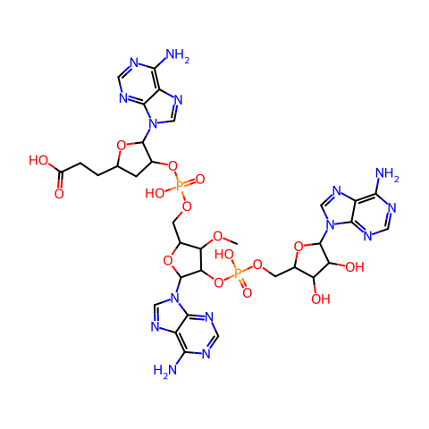 COC1C(COP(=O)(O)OC2CC(CCC(=O)O)OC2n2cnc3c(N)ncnc32)OC(n2cnc3c(N)ncnc32)C1OP(=O)(O)OCC1OC(n2cnc3c(N)ncnc32)C(O)C1O